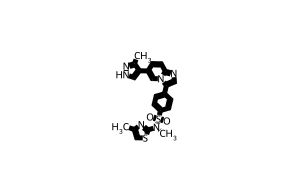 Cc1csc(N(C)S(=O)(=O)c2ccc(-c3cnc4ccc(-c5c[nH]nc5C)cn34)cc2)n1